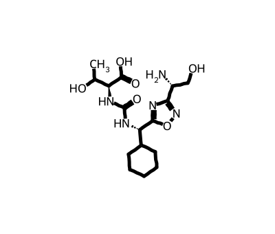 CC(O)[C@H](NC(=O)N[C@H](c1nc([C@H](N)CO)no1)C1CCCCC1)C(=O)O